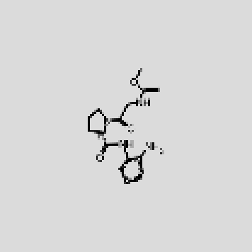 C=C(NCC(=O)N1CCC[C@H]1C(=O)Nc1ccccc1N)OC